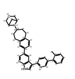 Cc1ccccc1-c1ccc(-c2c[nH]c3ncc(-c4ccc5c(c4)CC[C@@H](N4C6COCC4C6)CC5)cc23)nc1